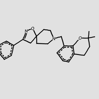 CC1(C)CCc2cccc(CN3CCC4(CC3)CC(c3ccccc3)=NO4)c2O1